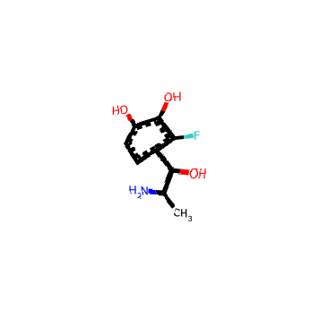 CC(N)C(O)c1ccc(O)c(O)c1F